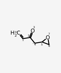 C=CC(=O)[CH]C1CO1